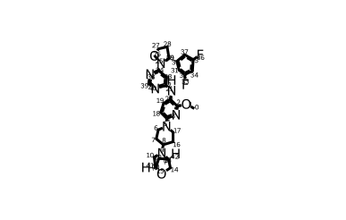 COc1nc(N2CCC(N3C[C@H]4C[C@@H]3CO4)CC2)ccc1Nc1cc(N2OCC[C@@H]2c2cc(F)cc(F)c2)ncn1